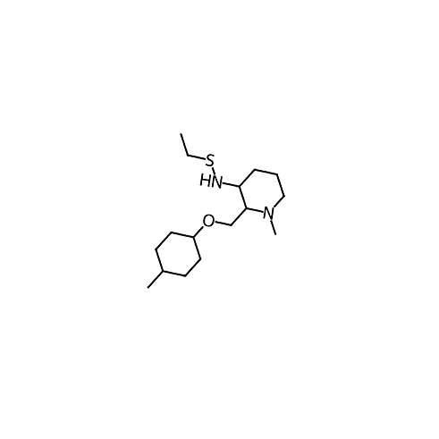 CCSNC1CCCN(C)C1COC1CCC(C)CC1